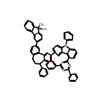 CC1(C)c2ccccc2-c2cc(-c3ccc4c(c3)-c3cc(-c5ccc6c(c5)c5c(-c7nc(-c8ccccc8)nc(-c8ccccc8)n7)cccc5n6-c5ccccc5)ccc3C(c3ccccc3)CC4)ccc21